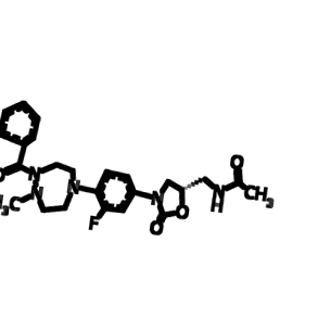 CC(=O)NC[C@H]1CN(c2ccc(N3CCN(C)N(C(=O)c4ccccc4)CC3)c(F)c2)C(=O)O1